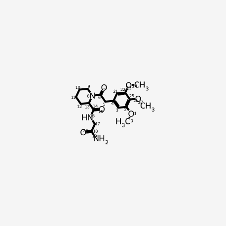 COc1cc(CC(=O)N2CCCCC2C(=O)NCC(N)=O)cc(OC)c1OC